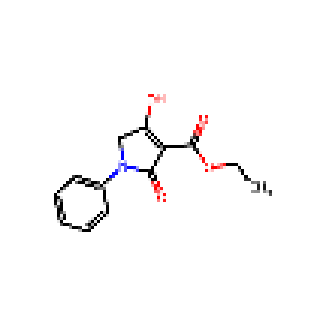 CCOC(=O)C1=C(O)CN(c2ccccc2)C1=O